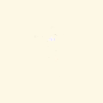 CC(C)C[C@H](NC(Cc1ccc(OCc2ccccc2)cc1)C(=O)O)C(=O)O